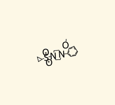 COc1ccccc1N1CCN(S(=O)(=O)C2CC2)CC1